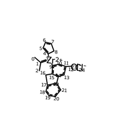 C[C](C)=[Zr+2]([C]1=CC=CC1)[c]1cc(C)cc2c1Cc1ccccc1-2.[Cl-].[Cl-]